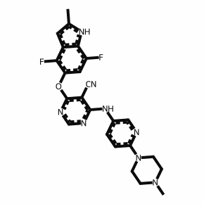 Cc1cc2c(F)c(Oc3ncnc(Nc4ccc(N5CCN(C)CC5)nc4)c3C#N)cc(F)c2[nH]1